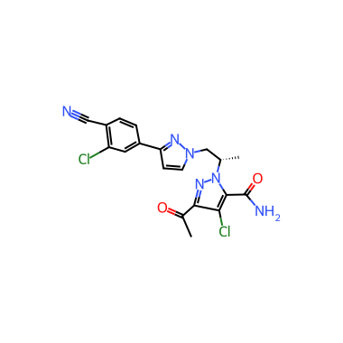 CC(=O)c1nn([C@@H](C)Cn2ccc(-c3ccc(C#N)c(Cl)c3)n2)c(C(N)=O)c1Cl